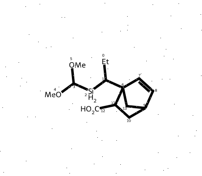 CCC([SiH2]C(OC)OC)C12C=CC(CC1C(=O)O)C2